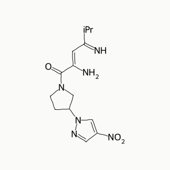 CC(C)C(=N)/C=C(\N)C(=O)N1CCC(n2cc([N+](=O)[O-])cn2)C1